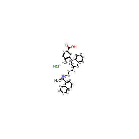 Cc1ccc(C(=O)O)cc1C1CC(CCCN[C@H](C)c2cccc3ccccc23)Cc2ccccc21.Cl